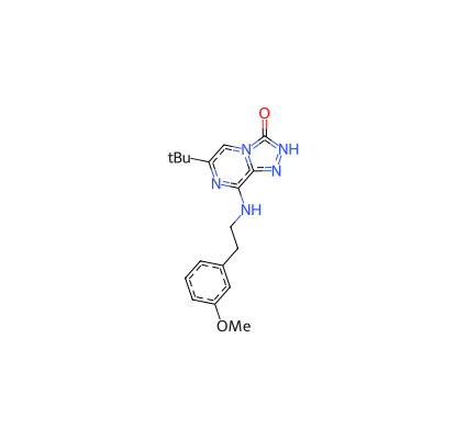 COc1cccc(CCNc2nc(C(C)(C)C)cn3c(=O)[nH]nc23)c1